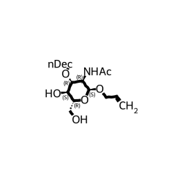 C=CCO[C@H]1O[C@H](CO)[C@@H](O)[C@H](OCCCCCCCCCC)[C@H]1NC(C)=O